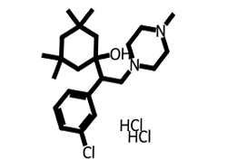 CN1CCN(CC(c2cccc(Cl)c2)C2(O)CC(C)(C)CC(C)(C)C2)CC1.Cl.Cl